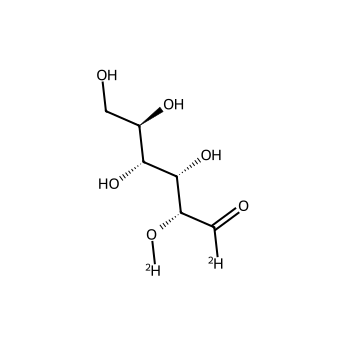 [2H]O[C@@H](C([2H])=O)[C@@H](O)[C@H](O)[C@H](O)CO